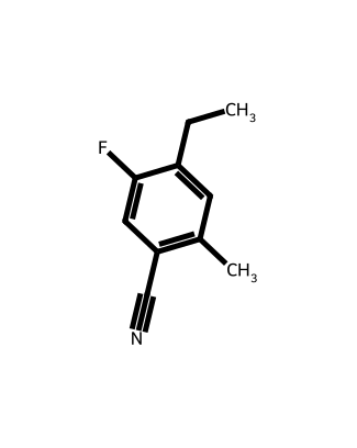 CCc1cc(C)c(C#N)cc1F